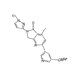 CCn1ccc(N2Cc3nc(-c4cncc(OC)c4)cc(C)c3C2=O)n1